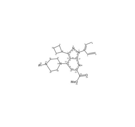 C=C/C(=C\C)n1nc(C2CCC2)c2c(N3CCN(C(C)C)CC3)cc(C(=O)OC)nc21